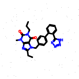 CCCn1c(=O)c2c(nc(CC)n2Cc2ccc(-c3ccccc3-c3nnn[nH]3)cc2)n(C)c1=O